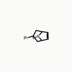 CCN1C2C=CC1CC(C(C)C)C2